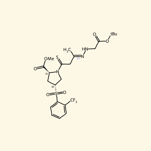 COC(=O)[C@@H]1C[C@@H](S(=O)(=O)c2ccccc2C(F)(F)F)CN1C(=S)C/C(C)=N/NCC(=O)OC(C)(C)C